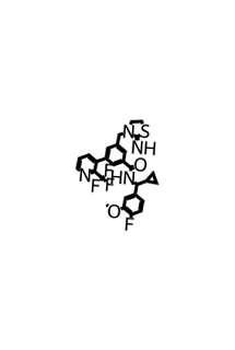 COc1cc(C(NC(=O)c2cc(CN3CCSC3=N)cc(-c3cccnc3C(F)(F)F)c2)C2CC2)ccc1F